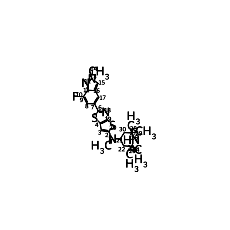 CN(c1cc2sc(-c3cc(F)c4nn(C)cc4c3)nc2s1)C1CC(C)(C)NC(C)(C)C1